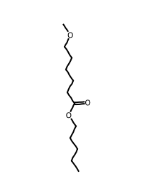 CCCCCOC(=O)CCCCCOC